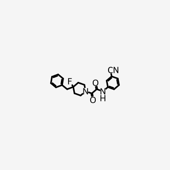 N#Cc1cccc(NC(=O)C(=O)N2CCC(F)(Cc3ccccc3)CC2)c1